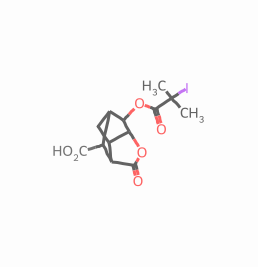 CC(C)(I)C(=O)OC1C2CC3C1OC(=O)C3C2C(=O)O